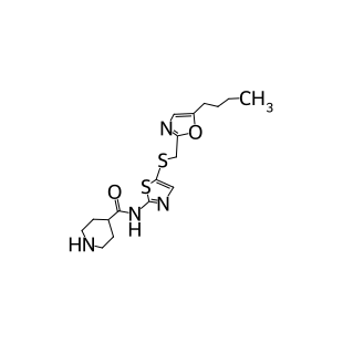 CCCCc1cnc(CSc2cnc(NC(=O)C3CCNCC3)s2)o1